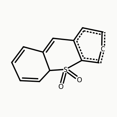 O=S1(=O)c2ccccc2C=C2C=CC=CC21